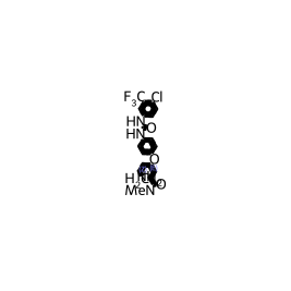 C=C(/C=C(\C=C/N)OC1=CCC(NC(=O)Nc2ccc(Cl)c(C(F)(F)F)c2)C=C1)C(=O)NC